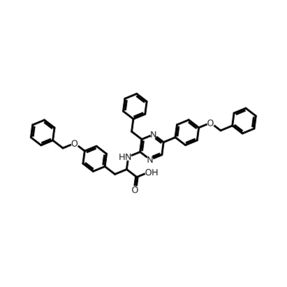 O=C(O)C(Cc1ccc(OCc2ccccc2)cc1)Nc1ncc(-c2ccc(OCc3ccccc3)cc2)nc1Cc1ccccc1